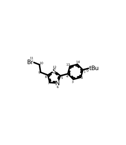 CC(C)(C)c1ccc(-c2ncc(CCBr)s2)cc1